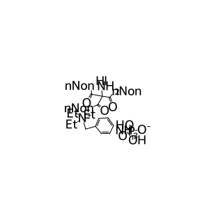 CCCCCCCCCC(=O)C(N)(C(=O)CCCCCCCCC)C(=O)CCCCCCCCC.CC[N+](CC)(CC)Cc1ccccc1.I.N.O=P([O-])(O)O